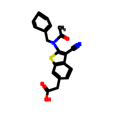 CC(=O)N(Cc1ccccc1)c1sc2cc(CC(=O)O)ccc2c1C#N